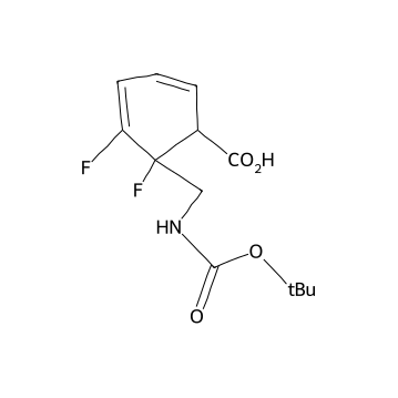 CC(C)(C)OC(=O)NCC1(F)C(F)=CC=CC1C(=O)O